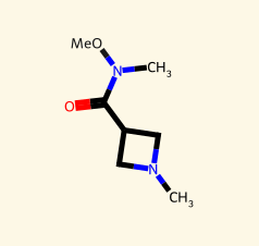 CON(C)C(=O)C1CN(C)C1